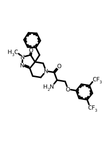 CN1N=C2CCN(C(=O)C(N)COc3cc(C(F)(F)F)cc(C(F)(F)F)c3)CC2(Cc2ccccc2)C1=O